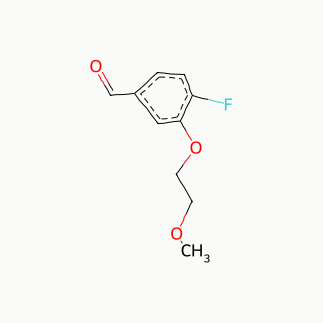 COCCOc1cc(C=O)ccc1F